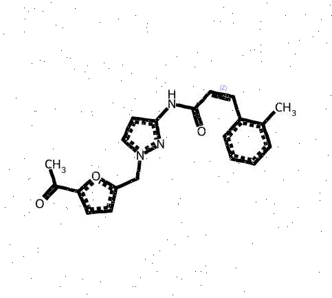 CC(=O)c1ccc(Cn2ccc(NC(=O)/C=C\c3ccccc3C)n2)o1